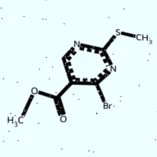 COC(=O)c1cnc(SC)nc1Br